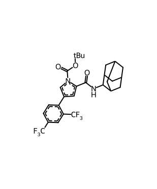 CC(C)(C)OC(=O)n1cc(-c2ccc(C(F)(F)F)cc2C(F)(F)F)cc1C(=O)NC1C2CC3CC(C2)CC1C3